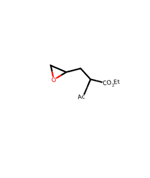 CCOC(=O)C(CC1CO1)C(C)=O